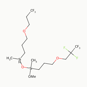 CO[Si](C)(CCCOCC(F)(F)C(F)(F)F)O[SiH](C)CCCOCCC(F)(F)F